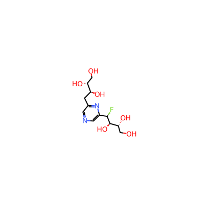 OC[C@@H](O)[C@@H](O)[C@H](F)c1cncc(C[C@H](O)[C@H](O)CO)n1